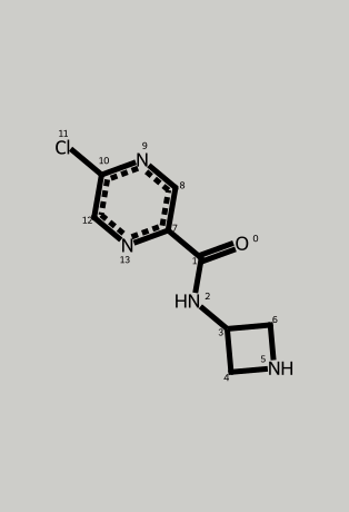 O=C(NC1CNC1)c1cnc(Cl)cn1